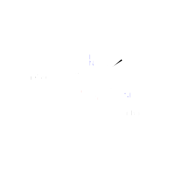 CCCCCCCCCC(=O)N[C@@H](C)C(=O)NCCCC